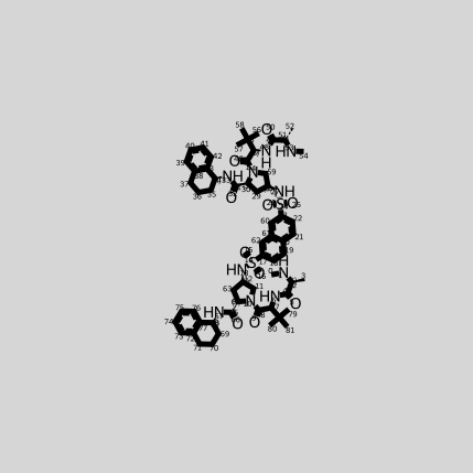 CN[C@@H](C)C(=O)NC(C(=O)N1C[C@@H](NS(=O)(=O)c2ccc3ccc(S(=O)(=O)N[C@H]4C[C@@H](C(=O)N[C@@H]5CCCc6ccccc65)N(C(=O)[C@@H](NC(=O)[C@H](C)NC)C(C)(C)C)C4)cc3c2)C[C@H]1C(=O)N[C@@H]1CCCc2ccccc21)C(C)(C)C